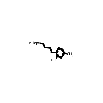 CCCCCCCCCC[CH]c1ccc(C)cc1O